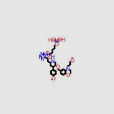 COCCCN1CCOc2ccc(COC3CNC(CC(OC(=O)CCCCON(O)O)c4nnn[nH]4)CC3c3ccc(OC)cc3)cc21